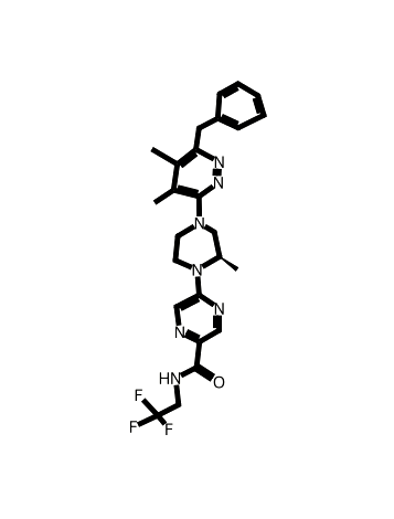 Cc1c(Cc2ccccc2)nnc(N2CCN(c3cnc(C(=O)NCC(F)(F)F)cn3)[C@H](C)C2)c1C